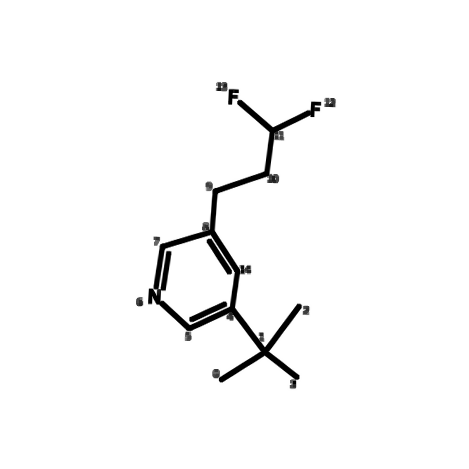 CC(C)(C)c1cncc(CCC(F)F)c1